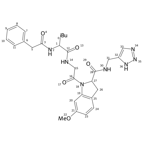 CCC(C)C(NC(=O)Cc1ccccc1)C(=O)NCC(=O)N1c2cc(OC)ccc2CC1C(=O)NCc1cnn[nH]1